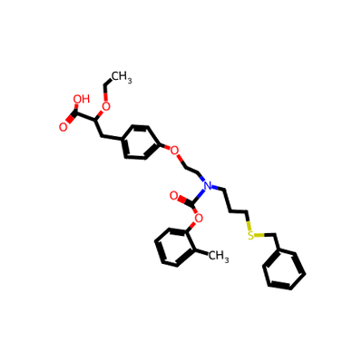 CCOC(Cc1ccc(OCCN(CCCSCc2ccccc2)C(=O)Oc2ccccc2C)cc1)C(=O)O